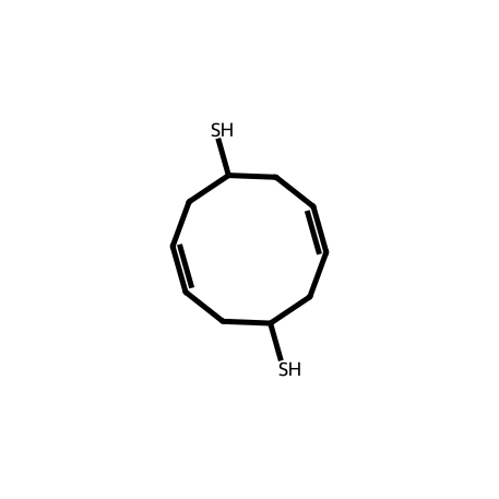 SC1CC=CCC(S)CC=CC1